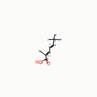 C/C(=C\C=C\C(C)(C)C)C(=O)O